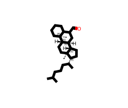 CC(C)CCCC(C)[C@H]1CC[C@H]2[C@@H]3CC(C=O)C4CCCC[C@]4(C)[C@H]3CC[C@]12C